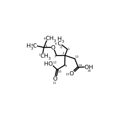 CCC(COC(C)(C)C)(CC(=O)O)CC(=O)O